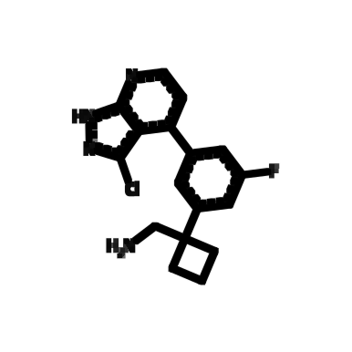 NCC1(c2cc(F)cc(-c3ccnc4[nH]nc(Cl)c34)c2)CCC1